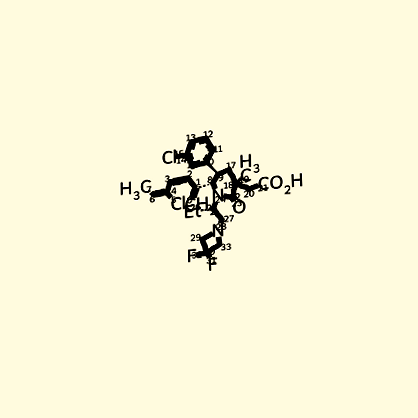 C=C(/C=C\C(Cl)=C/C)[C@@H]1[C@@H](c2cccc(Cl)c2)C[C@](C)(CC(=O)O)C(=O)N1[C@@H](CC)CN1CC(F)(F)C1